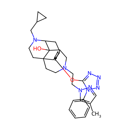 Cc1cnn(CCN2CCC34CCN(CC5CC5)C(Cc5ccc(Oc6nnnn6-c6ccccc6)cc53)C4(O)CC2)c1